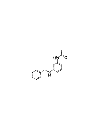 CC(=O)Nc1cccc(NCc2ccccc2)c1